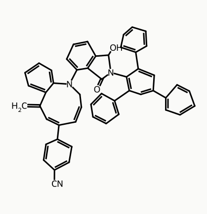 C=C1/C=C(c2ccc(C#N)cc2)\C=C/CN(c2cccc3c2C(=O)N(c2c(-c4ccccc4)cc(-c4ccccc4)cc2-c2ccccc2)C3O)c2ccccc21